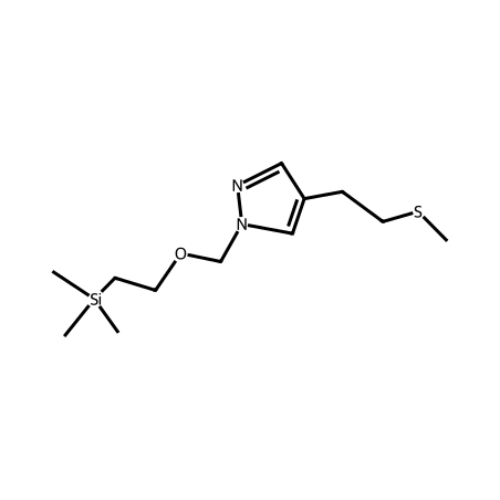 CSCCc1cnn(COCC[Si](C)(C)C)c1